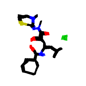 CC(C)CC(NC(=O)C1CCCCC1)C(=O)C(=O)N(C)N=C1SCCN1C.Cl